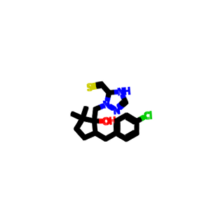 CC1(C)CCC(Cc2ccc(Cl)cc2)C1(O)CN1N=CNC1C=S